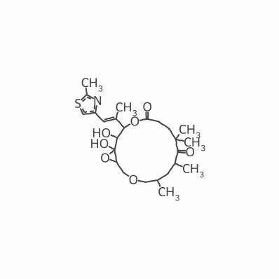 CC(=Cc1csc(C)n1)C1OC(=O)CCC(C)(C)C(=O)C(C)CC(C)COCC2OC2(O)C1O